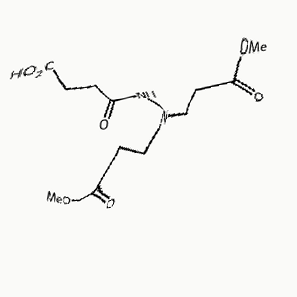 COC(=O)CCN(CCC(=O)OC)NC(=O)CCC(=O)O